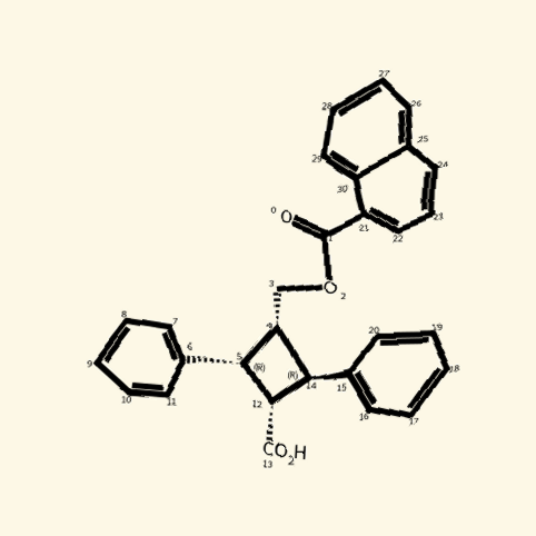 O=C(OC[C@H]1[C@@H](c2ccccc2)[C@@H](C(=O)O)[C@@H]1c1ccccc1)c1cccc2ccccc12